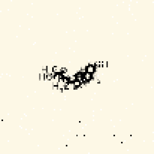 CC(CO)C(=O)CC[C@@H](C)[C@H]1CC[C@H]2[C@@H]3CC=C4C[C@@H](O)CC[C@]4(C)[C@H]3CC[C@]12C